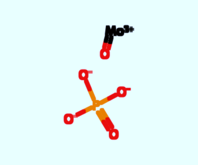 O=P([O-])([O-])[O-].[O]=[Mo+3]